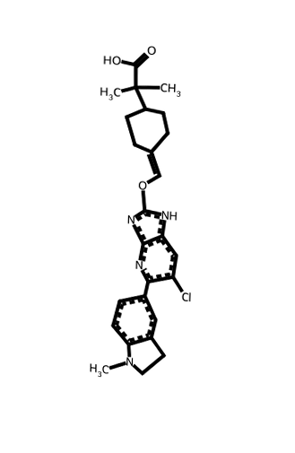 CN1CCc2cc(-c3nc4nc(OC=C5CCC(C(C)(C)C(=O)O)CC5)[nH]c4cc3Cl)ccc21